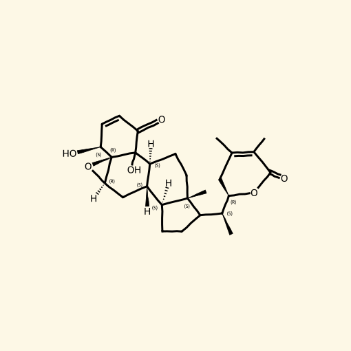 CC1=C(C)C(=O)O[C@@H]([C@@H](C)C2CC[C@H]3[C@@H]4C[C@H]5O[C@]56[C@@H](O)C=CC(=O)C6(O)[C@H]4CC[C@]23C)C1